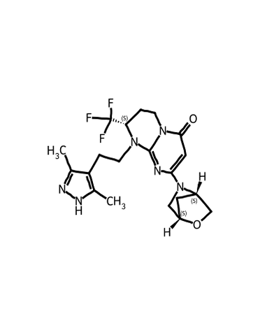 Cc1n[nH]c(C)c1CCN1c2nc(N3C[C@@H]4C[C@H]3CO4)cc(=O)n2CC[C@H]1C(F)(F)F